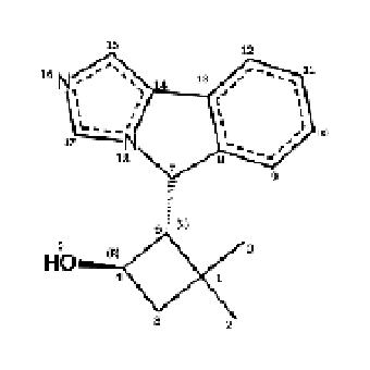 CC1(C)C[C@@H](O)[C@@H]1C1c2ccccc2-c2cncn21